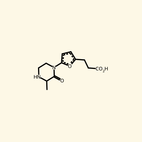 CC1NCCN(c2ccc(CCC(=O)O)o2)C1=O